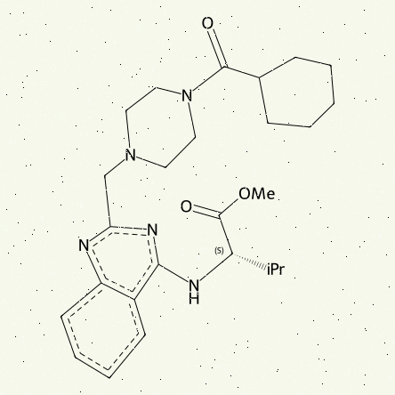 COC(=O)[C@@H](Nc1nc(CN2CCN(C(=O)C3CCCCC3)CC2)nc2ccccc12)C(C)C